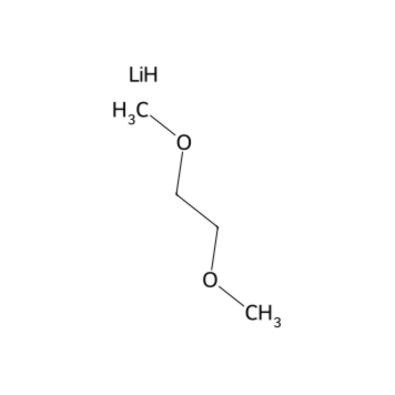 COCCOC.[LiH]